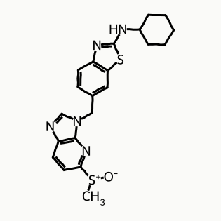 C[S+]([O-])c1ccc2ncn(Cc3ccc4nc(NC5CCCCC5)sc4c3)c2n1